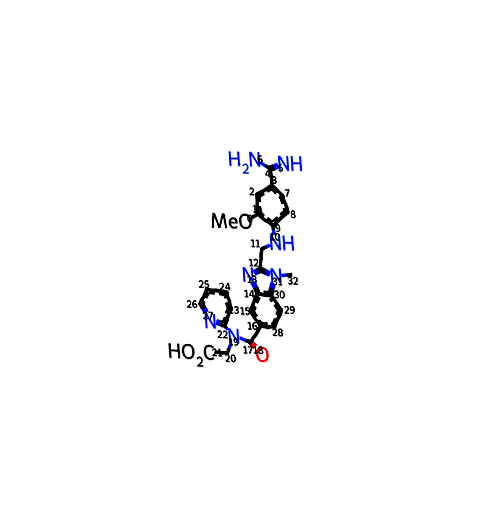 COc1cc(C(=N)N)ccc1NCc1nc2cc(C(=O)N(CC(=O)O)c3ccccn3)ccc2n1C